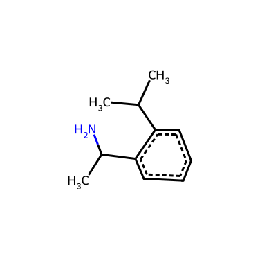 CC(C)c1ccccc1C(C)N